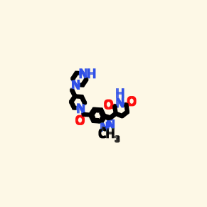 Cn1nc(C2CCC(=O)NC2=O)c2ccc(C(=O)N3CCC(CN4CCNCC4)CC3)cc21